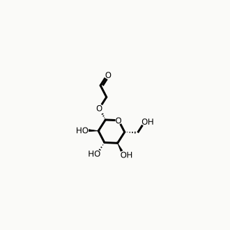 O=CCO[C@@H]1O[C@H](CO)[C@@H](O)[C@H](O)[C@H]1O